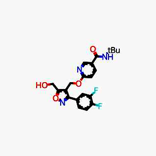 CC(C)(C)NC(=O)c1ccc(OCc2c(-c3ccc(F)c(F)c3)noc2CO)nc1